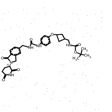 CC(C)(C)OC(=O)NCC1CC(Oc2ccc(NC(=O)NCc3ccc4c(c3)CN([C@H]3CCC(=O)NC3=O)C4=O)cc2)C1